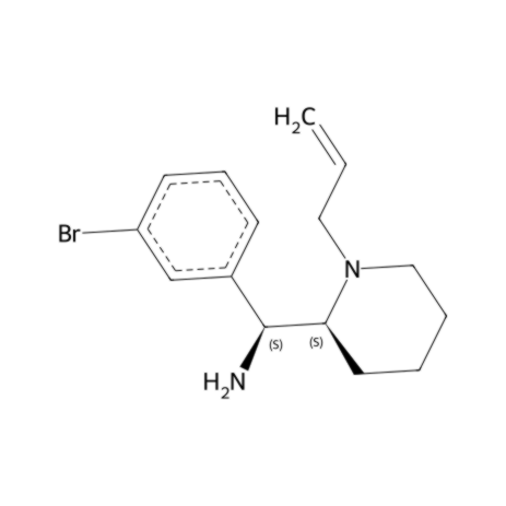 C=CCN1CCCC[C@H]1[C@@H](N)c1cccc(Br)c1